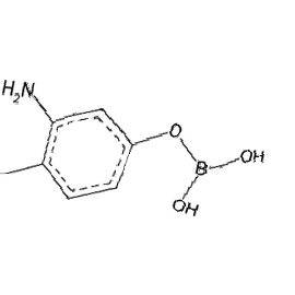 Nc1cc(OB(O)O)ccc1Cl